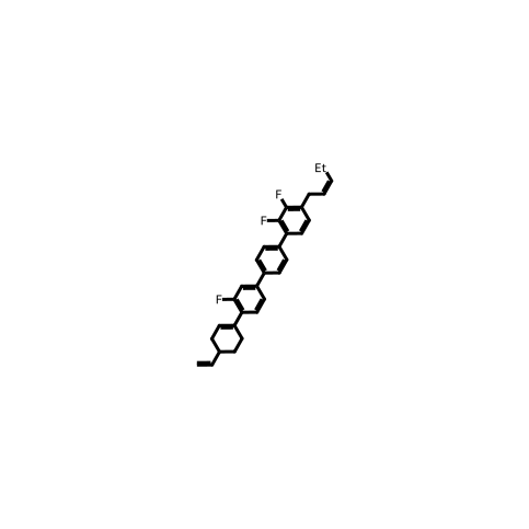 C=CC1CC=C(c2ccc(-c3ccc(-c4ccc(C/C=C\CC)c(F)c4F)cc3)cc2F)CC1